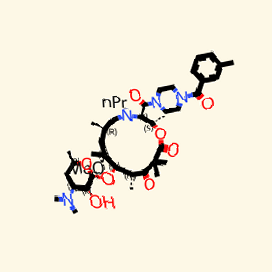 CCCN1C[C@H](C)C[C@@](C)(OC)[C@H](O[C@@H]2O[C@H](C)C[C@H](N(C)C)[C@H]2O)[C@@H](C)C(=O)C(C)(C)C(=O)O[C@@H](C)[C@@H]1C(=O)N1CCN(C(=O)c2cccc(C)c2)CC1